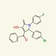 C=C1C(O)=C(C(=O)c2ccccc2)C(c2ccc(Br)cc2)N1c1ccc(F)cc1